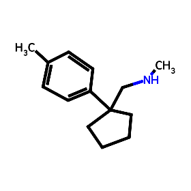 CNCC1(c2ccc(C)cc2)CCCC1